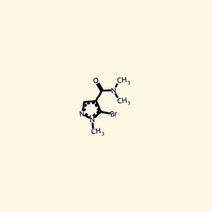 CN(C)C(=O)c1cnn(C)c1Br